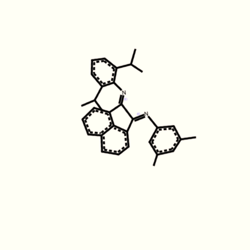 Cc1cc(C)cc(/N=C2/C(=N/c3c(C(C)C)cccc3C(C)C)c3cccc4cccc2c34)c1